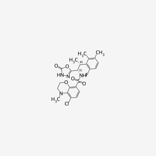 Cc1ccc(F)c([C@@H](C)[C@H](NS(=O)(=O)c2ccc(Cl)c3c2OCCN3C)c2n[nH]c(=O)o2)c1C